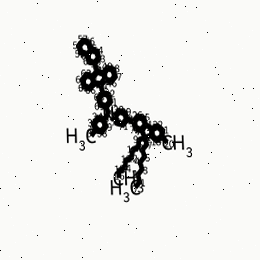 CCCCCCCCC1(CCCCCCCC)c2cc(C)ccc2-c2ccc(-c3ccc(N(c4ccc(C)cc4)c4ccc(-c5c6ccccc6c(-c6ccc7ccccc7c6)c6ccccc56)cc4)cc3)cc21